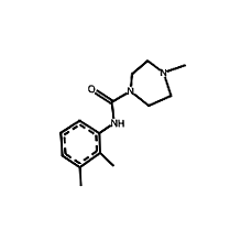 Cc1cccc(NC(=O)N2CCN(C)CC2)c1C